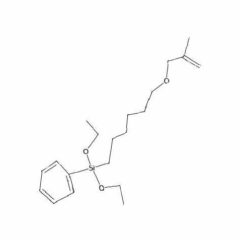 C=C(C)COCCCCCC[Si](OCC)(OCC)c1ccccc1